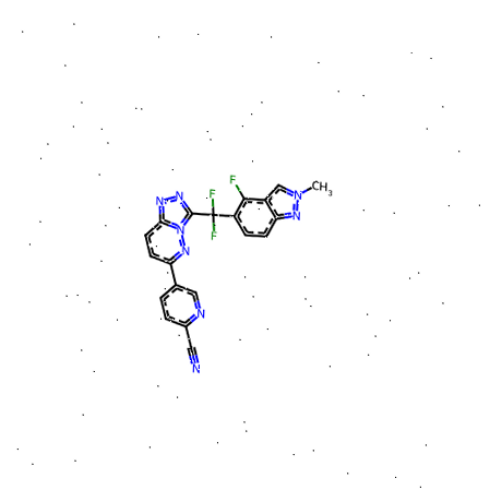 Cn1cc2c(F)c(C(F)(F)c3nnc4ccc(-c5ccc(C#N)nc5)nn34)ccc2n1